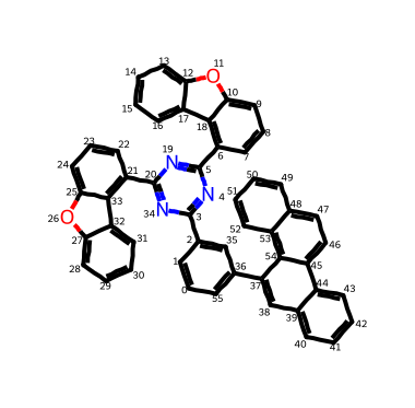 c1cc(-c2nc(-c3cccc4oc5ccccc5c34)nc(-c3cccc4oc5ccccc5c34)n2)cc(-c2cc3ccccc3c3ccc4ccccc4c23)c1